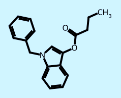 CCCC(=O)Oc1cn(Cc2ccccc2)c2ccccc12